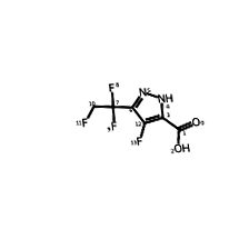 O=C(O)c1[nH]nc(C(F)(F)CF)c1F